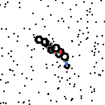 C[C@]12CC=C3C=C4CC[C@H](N5CCC5)C[C@]45CC[C@]3(O5)[C@@H]1CC[C@@H]2c1ccc2ccccc2c1